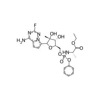 CCOC(=O)[C@H](C)NP(=O)(OC[C@H]1OC(c2ccc3c(N)nc(F)nn23)[C@](C)(O)[C@@H]1O)Oc1ccccc1